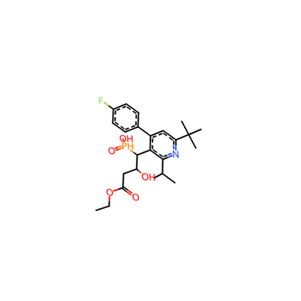 CCOC(=O)CC(O)C(c1c(-c2ccc(F)cc2)cc(C(C)(C)C)nc1C(C)C)[PH](=O)O